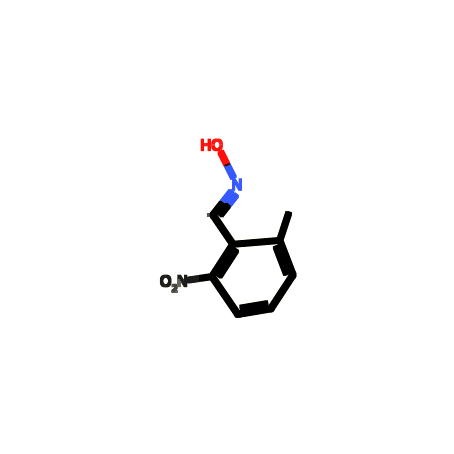 Cc1cccc([N+](=O)[O-])c1[C]=NO